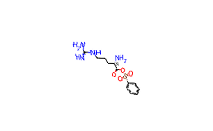 N=C(N)NCCC[C@H](N)C(=O)OS(=O)(=O)c1ccccc1